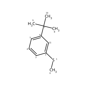 CSc1c[c]cc(C(C)(C)C)c1